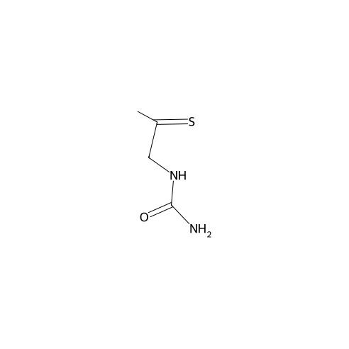 CC(=S)CNC(N)=O